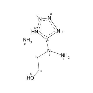 N.NN(CCO)c1nnn[nH]1